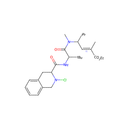 CCOC(=O)/C(C)=C/C(C(C)C)N(C)C(=O)C(NC(=O)C1Cc2ccccc2CN1Cl)C(C)(C)C